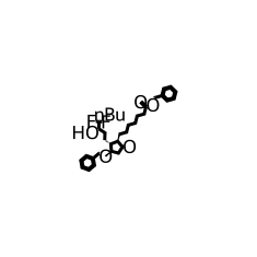 CCCCC(F)(F)C(O)CC[C@H]1[C@H](OCc2ccccc2)CC(=O)[C@@H]1CCCCCCC(=O)OCc1ccccc1